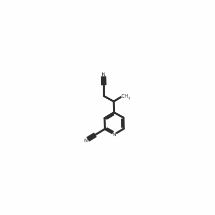 CC(CC#N)c1ccnc(C#N)c1